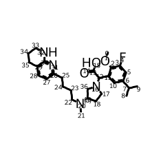 COc1c(F)cc(C(C)C)cc1C(C(=O)O)N1CC[C@H](N(C)CCCCc2ccc3c(n2)NCCC3)C1